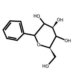 OC[C@H]1OC(c2ccccc2)C(O)[C@@H](O)C1O